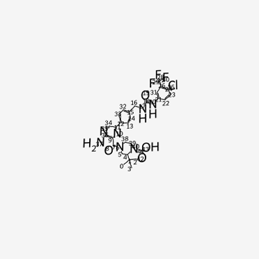 CC(C)(C)C1CN(C(=O)c2nc(-c3ccc(CNC(=O)Nc4ccc(Cl)c(C(F)(F)F)c4)cc3)cnc2N)CCN1C(=O)O